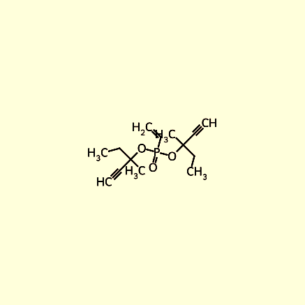 C#CC(C)(CC)OP(=O)(C=C)OC(C)(C#C)CC